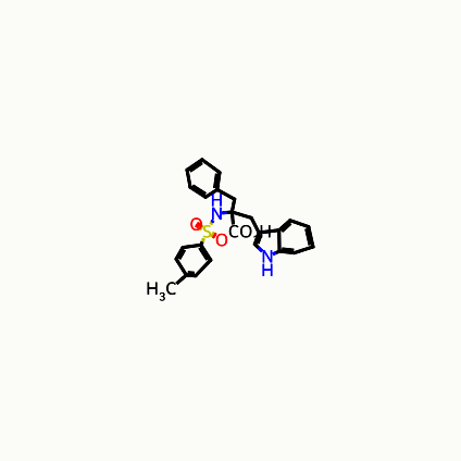 Cc1ccc(S(=O)(=O)NC(Cc2ccccc2)(Cc2c[nH]c3ccccc23)C(=O)O)cc1